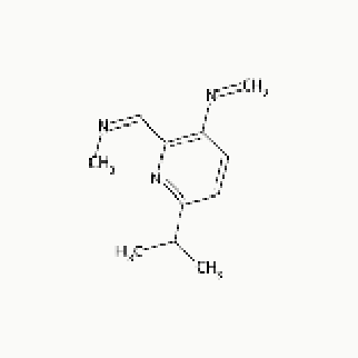 C=Nc1ccc(C(C)C)nc1/C=N\C